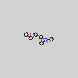 c1ccc(-c2cn3c4ccc(-c5cccc(-c6cccc7c6oc6ccccc67)c5)cc4c4ccccc4c3n2)cc1